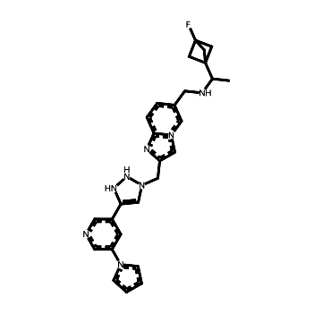 CC(NCc1ccc2nc(CN3C=C(c4cncc(-n5cccc5)c4)NN3)cn2c1)C12CC(F)(C1)C2